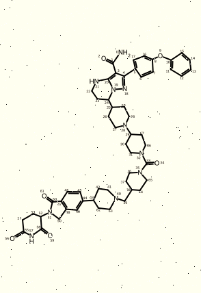 NC(=O)c1c(-c2ccc(Oc3ccccc3)cc2)nn2c1NCCC2C1CCN(C2CCN(C(=O)N3CCC(CN4CCC(c5ccc6c(c5)CN(C5CCC(=O)NC5=O)C6=O)CC4)CC3)CC2)CC1